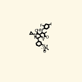 Cc1c(Nc2ccc(I)cc2F)c2c(=O)n(C3CC3)nc(-c3cccc(N=[S@](C)(=O)N(C)C)c3)c2n(C)c1=O